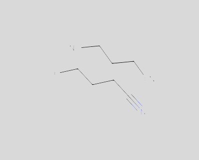 CCCCC#N.N#CCCCC#N